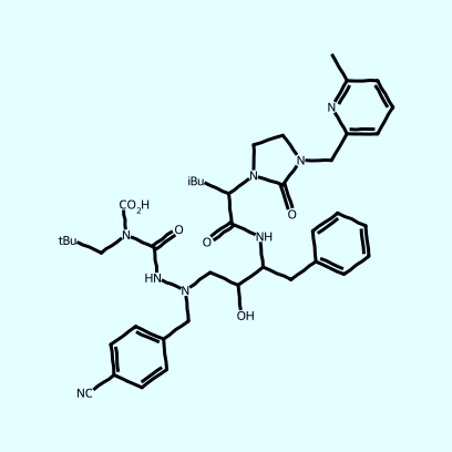 CCC(C)C(C(=O)NC(Cc1ccccc1)C(O)CN(Cc1ccc(C#N)cc1)NC(=O)N(CC(C)(C)C)C(=O)O)N1CCN(Cc2cccc(C)n2)C1=O